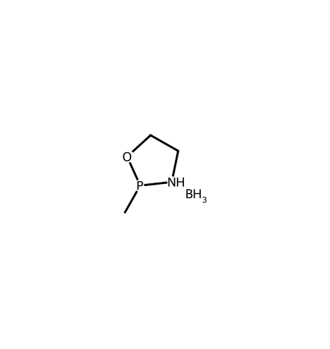 B.CP1NCCO1